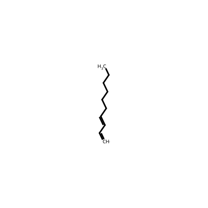 [CH]=CC=CCCCCCC